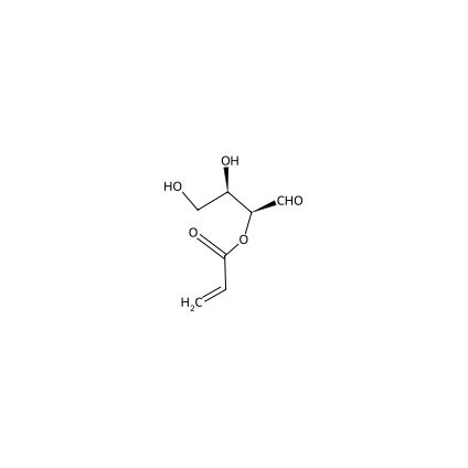 C=CC(=O)O[C@H](C=O)[C@H](O)CO